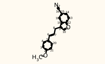 COc1ccc(C=CCc2coc3ccc(C#N)cc23)cc1